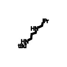 CC(C)CNCCCNC(C)(C)C